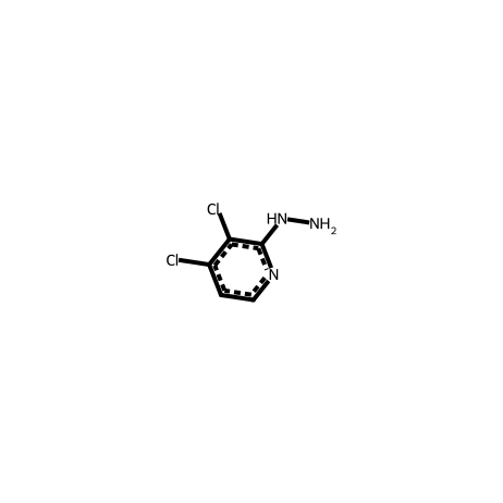 NNc1nccc(Cl)c1Cl